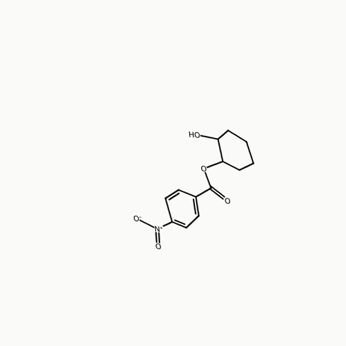 O=C(OC1CCCCC1O)c1ccc([N+](=O)[O-])cc1